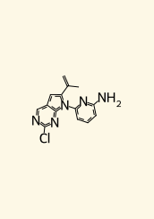 C=C(C)c1cc2cnc(Cl)nc2n1-c1cccc(N)n1